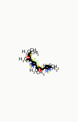 CC(C)(C)c1cc2c(s1)-c1sc(-c3c(F)c(F)c(-c4cc5c(s4)-c4sc(-c6ccc(C(C)(C)C)c7nsnc67)cc4OC5(C)C)c4nsnc34)cc1C(C)(C)O2